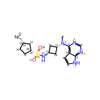 CN(c1ncnc2[nH]ccc12)[C@H]1C[C@H](NS(=O)(=O)[C@@H]2CC[C@H](C#N)C2)C1